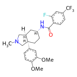 COc1ccc([C@@]23CC[C@@H](NC(=O)c4ccc(C(F)(F)F)cc4F)C[C@@H]2CN(C)C3)cc1OC